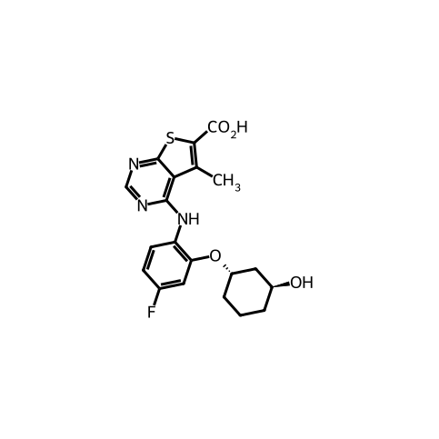 Cc1c(C(=O)O)sc2ncnc(Nc3ccc(F)cc3O[C@H]3CCC[C@H](O)C3)c12